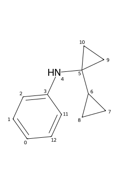 c1ccc(NC2(C3CC3)CC2)cc1